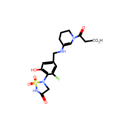 O=C(O)CC(=O)N1C=C(NCc2cc(O)c(N3CC(=O)NS3(=O)=O)c(F)c2)CCC1